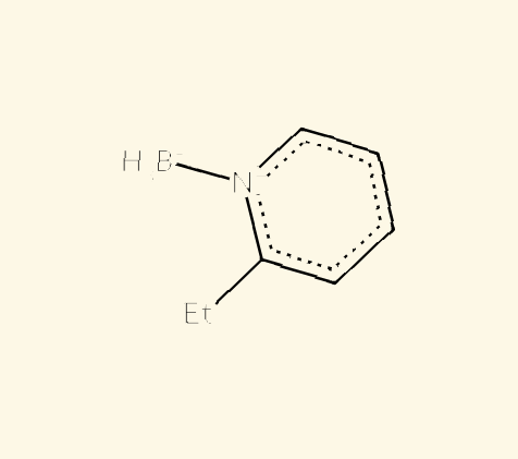 [BH3-][n+]1ccccc1CC